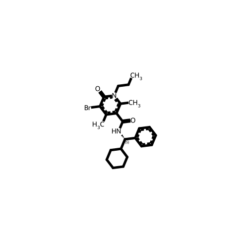 CCCn1c(C)c(C(=O)N[C@H](c2ccccc2)C2CCCCC2)c(C)c(Br)c1=O